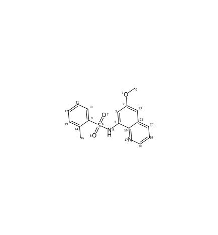 COc1cc(NS(=O)(=O)c2ccccc2C)c2ncccc2c1